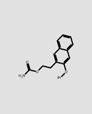 CC(C)Oc1cc2ccccc2cc1CCOC(N)=O